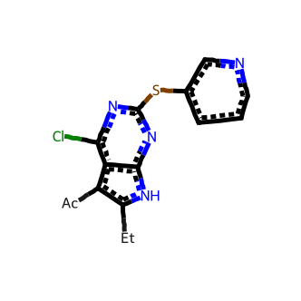 CCc1[nH]c2nc(Sc3cccnc3)nc(Cl)c2c1C(C)=O